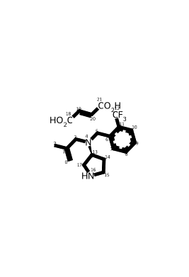 C=C(C)CN(Cc1ccccc1C(F)(F)F)[C@H]1CCNC1.O=C(O)/C=C/C(=O)O